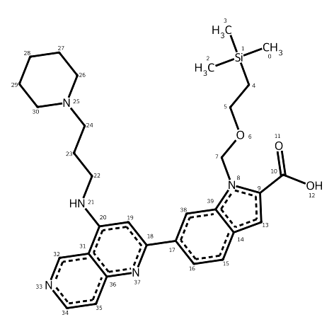 C[Si](C)(C)CCOCn1c(C(=O)O)cc2ccc(-c3cc(NCCCN4CCCCC4)c4cnccc4n3)cc21